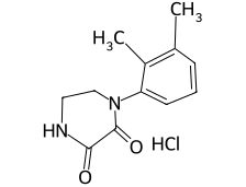 Cc1cccc(N2CCNC(=O)C2=O)c1C.Cl